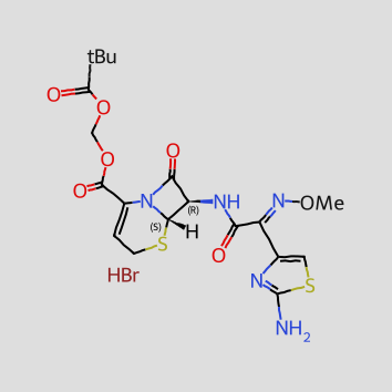 Br.CON=C(C(=O)N[C@@H]1C(=O)N2C(C(=O)OCOC(=O)C(C)(C)C)=CCS[C@@H]12)c1csc(N)n1